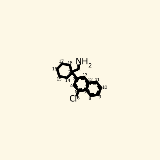 NCC1(c2cc(Cl)c3ccccc3c2)CCCCC1